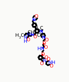 CCN(c1cc(-c2ccc(CN3CCOCC3)cc2)cc(C(=O)NCc2c(C)cc(C)[nH]c2=O)c1C)C1CCN(C(=O)COCC(=O)NCCOc2cccc3c2C(=O)N(C2CCC(=O)NC2=O)C3=O)CC1